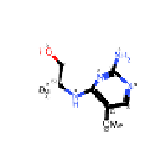 CC[C@H](C)[C@@H](CO)Nc1nc(N)ncc1OC